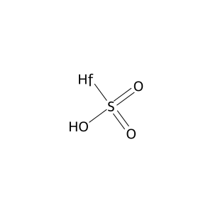 O=[S](=O)(O)[Hf]